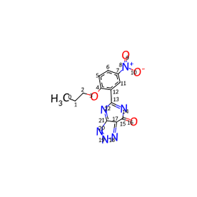 CCCOc1ccc([N+](=O)[O-])cc1C1=NC(=O)C2=NN=NC2=N1